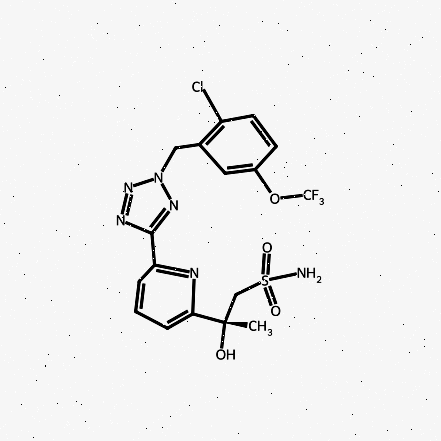 C[C@](O)(CS(N)(=O)=O)c1cccc(-c2nnn(Cc3cc(OC(F)(F)F)ccc3Cl)n2)n1